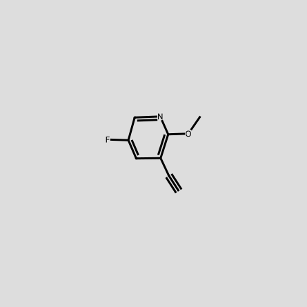 C#Cc1cc(F)cnc1OC